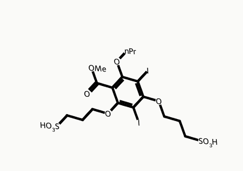 CCCOc1c(I)c(OCCCS(=O)(=O)O)c(I)c(OCCCS(=O)(=O)O)c1C(=O)OC